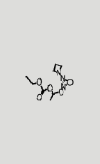 CCOC(=O)OC(C)On1on1N1CCC1